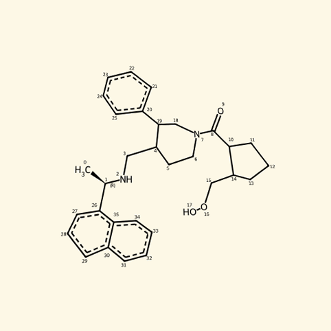 C[C@@H](NCC1CCN(C(=O)C2CCCC2COO)CC1c1ccccc1)c1cccc2ccccc12